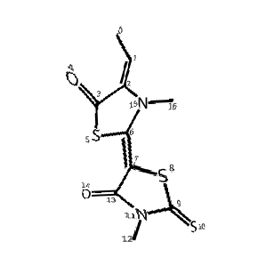 C/C=c1\c(=O)s/c(=C2/SC(=S)N(C)C2=O)n1C